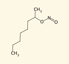 CCCCCCC(C)ON=O